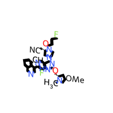 CO[C@@H]1C[C@@H](COC2N=C(N3CCN(C(=O)/C=C/CF)[C@@H](CC#N)C3)c3cnc(-c4cncc5cccc(C)c45)c(F)c3N2)N(C)C1